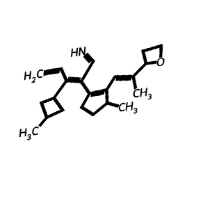 C=C/C(=C(\C=N)C1=C(/C=C(\C)C2CCO2)C(C)CC1)C1CC(C)C1